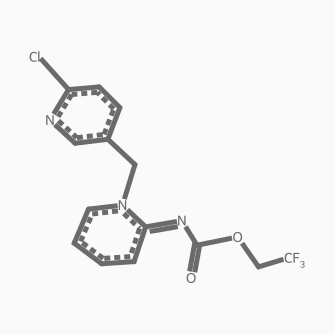 O=C(/N=c1\ccccn1Cc1ccc(Cl)nc1)OCC(F)(F)F